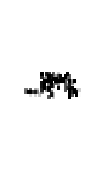 COc1cc(OC)c2cc(-c3cnc4sc(C(C)(F)F)nn34)oc2c1Br